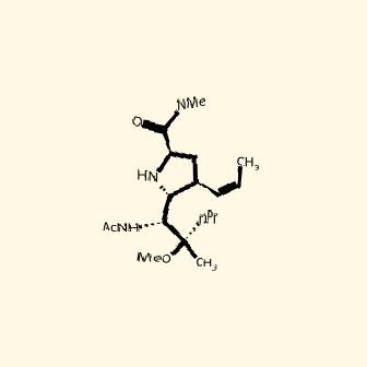 C/C=C\[C@@H]1C[C@H](C(=O)NC)N[C@H]1[C@@H](NC(C)=O)[C@](C)(CCC)OC